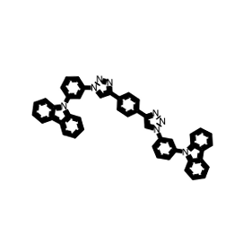 c1cc(-n2cc(-c3ccc(-c4cn(-c5cccc(-n6c7ccccc7c7ccccc76)c5)nn4)cc3)nn2)cc(-n2c3ccccc3c3ccccc32)c1